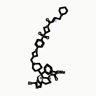 CCc1nccn1C[C@@](c1cccc(F)c1)(C1CCN(CC2CN(c3ccc(S(=O)(=O)C4CN(C(=O)/C=C/CN5CCCCC5)C4)cc3)C2)CC1)[C@H]1CCC[C@@H]1NC(=O)OC